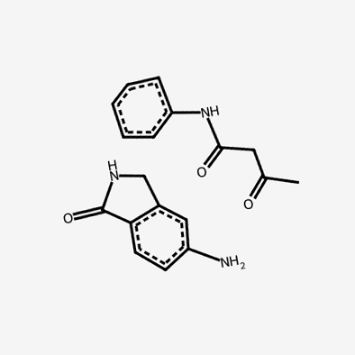 CC(=O)CC(=O)Nc1ccccc1.Nc1ccc2c(c1)CNC2=O